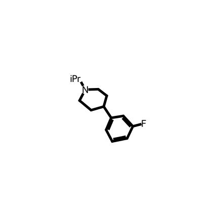 CC(C)N1CCC(c2cccc(F)c2)CC1